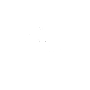 NC(=O)n1ccc(C(=O)O)c1